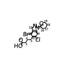 O=C(O)CCCc1c(Cl)cc2c(cnn2C2CCCCO2)c1Br